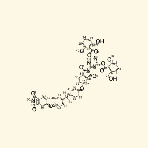 COc1cccc(CO)c1C(=O)Oc1nc(OC(=O)c2c(CO)cccc2OC)nc(N2C(=O)c3ccc(Oc4ccc(C(C)(C)c5ccc(Oc6ccc7c(c6)C(=O)N(C)C7=O)cc5)cc4)cc3C2=O)n1